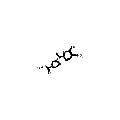 CN(c1ccc([N+](=O)[O-])c(C#N)n1)[C@H]1CCN(C(=O)OC(C)(C)C)C1